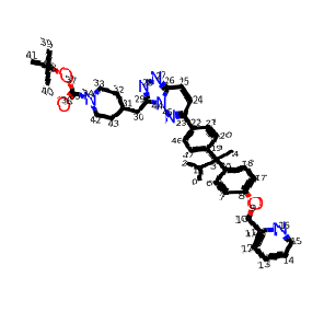 CC(C)C(C)(c1ccc(OCc2ccccn2)cc1)c1ccc(-c2ccc3nnc(CC4CCN(C(=O)OC(C)(C)C)CC4)n3n2)cc1